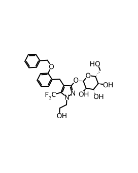 OCCn1nc(O[C@@H]2O[C@H](CO)[C@@H](O)[C@H](O)[C@H]2O)c(Cc2ccccc2OCc2ccccc2)c1C(F)(F)F